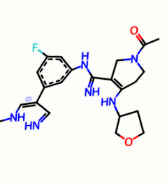 CN/C=C(\C=N)c1cc(F)cc(NC(=N)C2=C(NC3CCOC3)CCN(C(C)=O)C2)c1